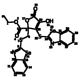 CCOC(=O)C1(CSc2nc3ccccc3[se]2)OC(=O)C(O)=C1Sc1nc2ccccc2[se]1